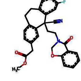 COC(=O)Cc1ccc2c(c1)C(C#N)(CCN1COc3ccccc3C1=O)c1cc(F)ccc1CC2